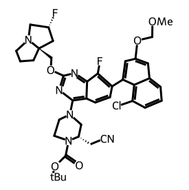 COCOc1cc(-c2ccc3c(N4CCN(C(=O)OC(C)(C)C)[C@@H](CC#N)C4)nc(OC[C@@]45CCCN4C[C@H](F)C5)nc3c2F)c2c(Cl)cccc2c1